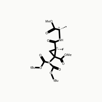 COC(=O)[C@H](C)NC(=O)[C@]1(F)CC1(C(=O)OC)N(C(=O)OC(C)(C)C)C(=O)OC(C)(C)C